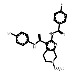 C=C(Nc1ccc(Br)cc1)c1c(NC(=O)c2ccc(F)cc2)sc2c1CCN(C(=O)OCC)C2